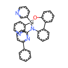 c1ccc(-c2cccc(N3c4ccccc4-c4ccccc4O[Si]3(c3cccnc3)c3cccnc3)n2)cc1